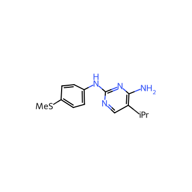 CSc1ccc(Nc2ncc(C(C)C)c(N)n2)cc1